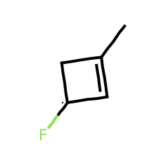 CC1=C[C](F)C1